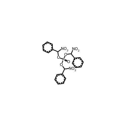 O=[N+]([O-])C(OP(=O)(OC(c1ccccc1)[N+](=O)[O-])OC(c1ccccc1)[N+](=O)[O-])c1ccccc1